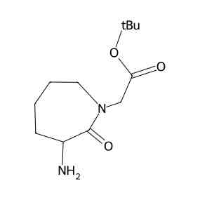 CC(C)(C)OC(=O)CN1CCCCC(N)C1=O